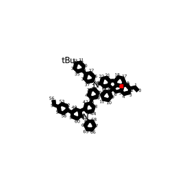 C=Cc1ccc(CC2(c3ccccc3)c3ccccc3-c3ccc(N(c4ccc(-c5ccc(C(C)(C)C)cc5)cc4)c4ccc(-c5ccc6c(c5)c5cc(-c7ccc(C=C)cc7)ccc5n6-c5ccccc5)cc4)cc32)cc1